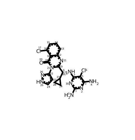 Nc1nc(N)c(Cl)c(N[C@@H](c2nc3cccc(Cl)c3c(=O)n2-c2cc[nH]n2)C2CC2)n1